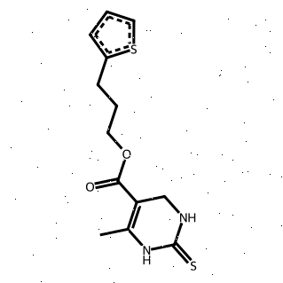 CC1=C(C(=O)OCCCc2cccs2)CNC(=S)N1